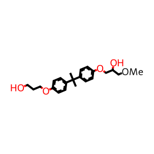 COCC(O)COc1ccc(C(C)(C)c2ccc(OCCCO)cc2)cc1